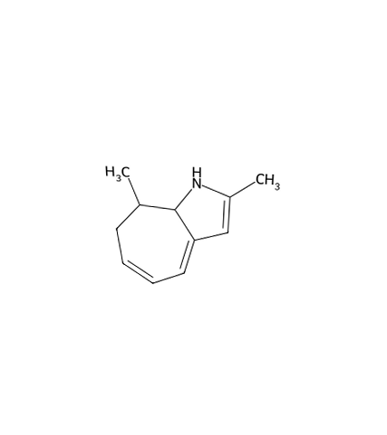 CC1=CC2=CC=CCC(C)C2N1